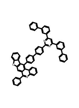 c1ccc(-c2cccc(-c3cc(-c4cccc(-c5ccccc5)c4)nc(-c4ccc(-c5ccc(-c6c7c(cc8c(-c9ccccc9)nc9ccccc9c68)oc6ccccc67)cc5)cc4)n3)c2)cc1